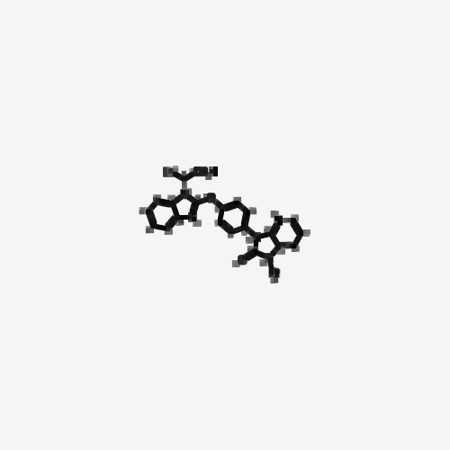 CCC(C(=O)O)n1c(Oc2ccc(-n3c(=O)n(CC)c4cccnc43)cc2)nc2ccccc21